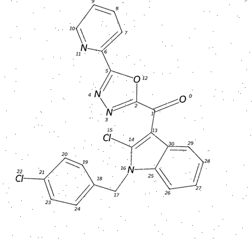 O=C(c1nnc(-c2ccccn2)o1)c1c(Cl)n(Cc2ccc(Cl)cc2)c2ccccc12